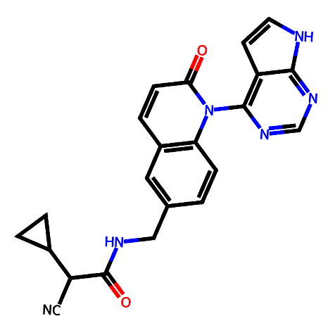 N#CC(C(=O)NCc1ccc2c(ccc(=O)n2-c2ncnc3[nH]ccc23)c1)C1CC1